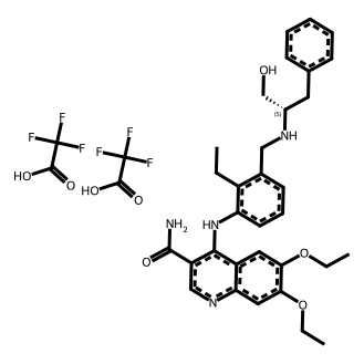 CCOc1cc2ncc(C(N)=O)c(Nc3cccc(CN[C@H](CO)Cc4ccccc4)c3CC)c2cc1OCC.O=C(O)C(F)(F)F.O=C(O)C(F)(F)F